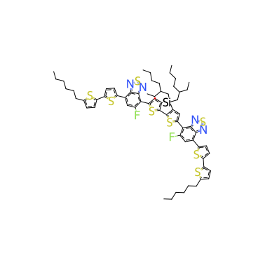 CCCCCCc1ccc(-c2ccc(-c3cc(F)c(-c4cc5c(s4)-c4sc(-c6c(F)cc(-c7ccc(-c8ccc(CCCCCC)s8)s7)c7nsnc67)cc4[Si]5(CC(CC)CCCC)CC(CC)CCCC)c4nsnc34)s2)s1